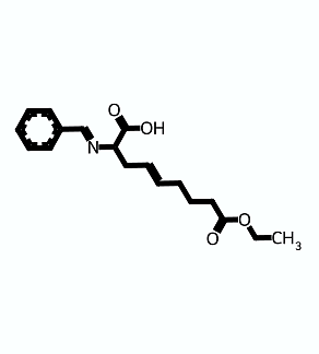 CCOC(=O)CCC/C=C/CC(/N=C/c1ccccc1)C(=O)O